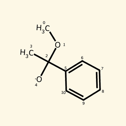 COC(C)([O])c1ccccc1